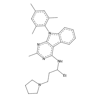 CCC(CCN1CCCC1)Nc1nc(C)nc2c1c1ccccc1n2-c1c(C)cc(C)cc1C